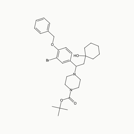 CC(C)(C)OC(=O)N1CCN(C(CC2(O)CCCCC2)c2ccc(OCc3ccccc3)c(Br)c2)CC1